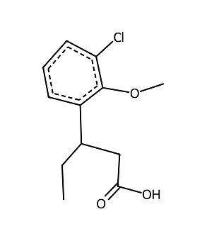 CCC(CC(=O)O)c1cccc(Cl)c1OC